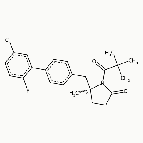 CC(C)(C)C(=O)N1C(=O)CC[C@@]1(C)Cc1ccc(-c2cc(Cl)ccc2F)cc1